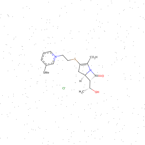 CSc1ccc[n+](CCSC2=C(C(=O)O)N3C(=O)[C@H]([C@@H](C)O)[C@H]3C2)c1.[Cl-]